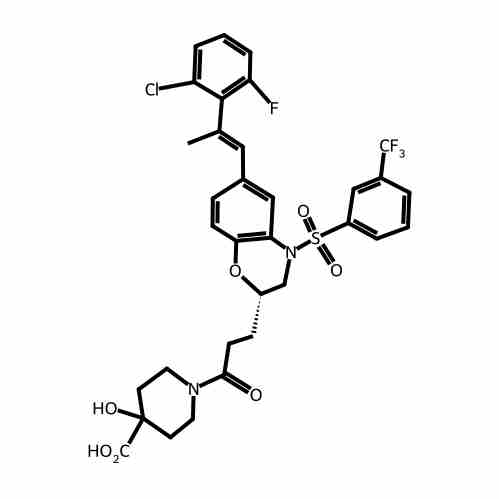 C/C(=C\c1ccc2c(c1)N(S(=O)(=O)c1cccc(C(F)(F)F)c1)C[C@H](CCC(=O)N1CCC(O)(C(=O)O)CC1)O2)c1c(F)cccc1Cl